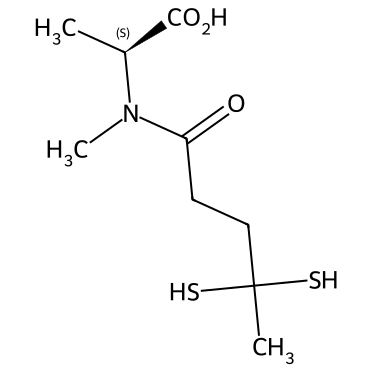 C[C@@H](C(=O)O)N(C)C(=O)CCC(C)(S)S